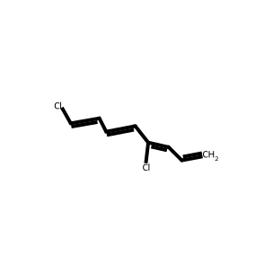 C=CC=C(Cl)C=CC=CCl